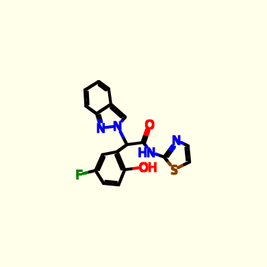 O=C(Nc1nccs1)C(c1cc(F)ccc1O)n1cc2ccccc2n1